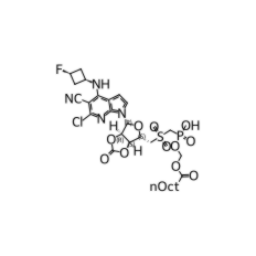 CCCCCCCCC(=O)OCOP(=O)(O)CS(=O)(=O)C[C@H]1O[C@@H](n2ccc3c(N[C@H]4C[C@@H](F)C4)c(C#N)c(Cl)nc32)[C@@H]2OC(=O)O[C@@H]21